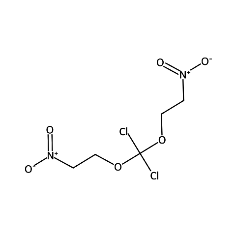 O=[N+]([O-])CCOC(Cl)(Cl)OCC[N+](=O)[O-]